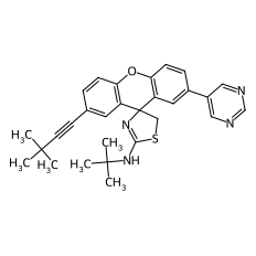 CC(C)(C)C#Cc1ccc2c(c1)C1(CSC(NC(C)(C)C)=N1)c1cc(-c3cncnc3)ccc1O2